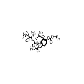 CC(=O)Oc1ccc(CC(NC(=O)CCC(N)C(=O)O)C(=O)O)cc1OC(C)=O